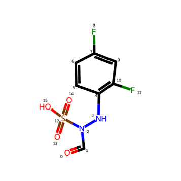 O=CN(Nc1ccc(F)cc1F)S(=O)(=O)O